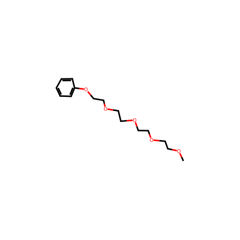 COCCOCCOCCOCCOc1ccccc1